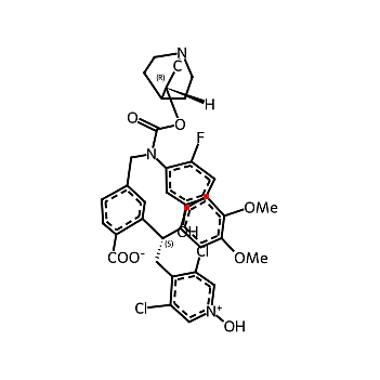 COc1ccc([C@H](Cc2c(Cl)c[n+](O)cc2Cl)c2cc(CN(C(=O)O[C@H]3CN4CCC3CC4)c3cc(O)ccc3F)ccc2C(=O)[O-])cc1OC